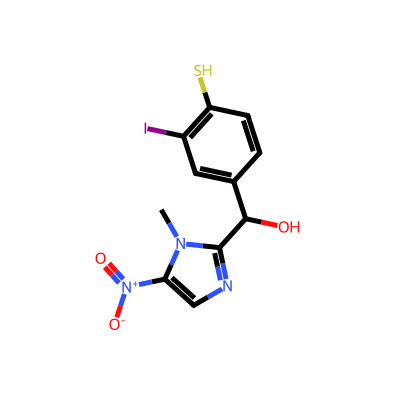 Cn1c([N+](=O)[O-])cnc1C(O)c1ccc(S)c(I)c1